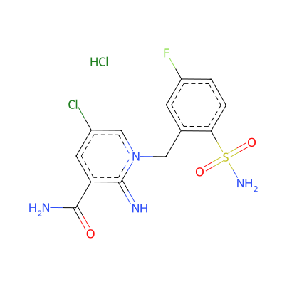 Cl.N=c1c(C(N)=O)cc(Cl)cn1Cc1cc(F)ccc1S(N)(=O)=O